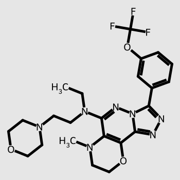 CCN(CCN1CCOCC1)c1nn2c(-c3cccc(OC(F)(F)F)c3)nnc2c2c1N(C)CCO2